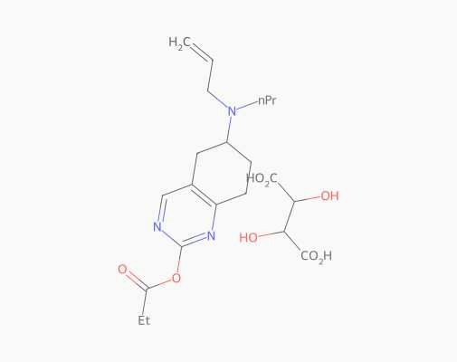 C=CCN(CCC)C1CCc2nc(OC(=O)CC)ncc2C1.O=C(O)C(O)C(O)C(=O)O